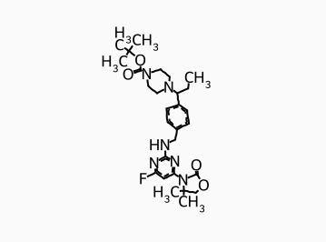 CCC(c1ccc(CNc2nc(F)cc(N3C(=O)OCC3(C)C)n2)cc1)N1CCN(C(=O)OC(C)(C)C)CC1